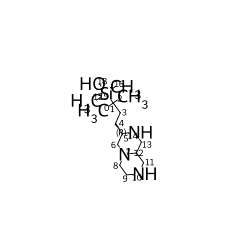 CC(C)(CC[C@@H]1CN2CCNCC2CN1)[Si](C)(C)O